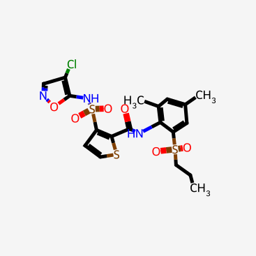 CCCS(=O)(=O)c1cc(C)cc(C)c1NC(=O)c1sccc1S(=O)(=O)Nc1oncc1Cl